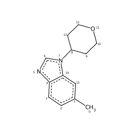 Cc1ccc2ncn(C3CCOCC3)c2c1